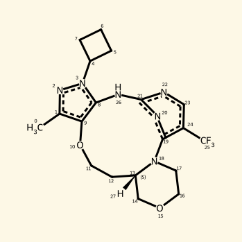 Cc1nn(C2CCC2)c2c1OCC[C@H]1COCCN1c1nc(ncc1C(F)(F)F)N2